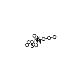 c1ccc(-c2ccc(-c3ccc(-c4nc(-c5ccccc5)nc(-c5cccc6sc7c(ccc8ccc9ccccc9c87)c56)n4)cc3)cc2)cc1